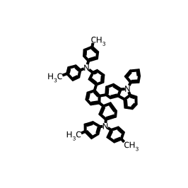 Cc1ccc(N(c2ccc(C)cc2)c2cccc(-c3cccc(-c4cccc(N(c5ccc(C)cc5)c5ccc(C)cc5)c4)c3-c3ccc4c(c3)c3ccccc3n4-c3ccccc3)c2)cc1